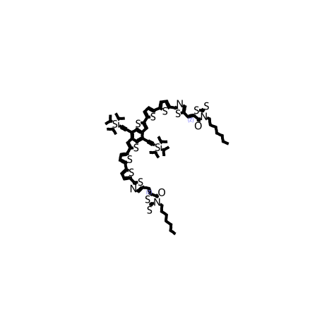 CCCCCCCN1C(=O)/C(=C/c2cnc(-c3ccc(-c4ccc(-c5cc6c(C#C[Si](C(C)C)(C(C)C)C(C)C)c7sc(-c8ccc(-c9ccc(-c%10ncc(/C=C%11\SC(=S)N(CCCCCCC)C%11=O)s%10)s9)s8)cc7c(C#C[Si](C(C)C)(C(C)C)C(C)C)c6s5)s4)s3)s2)SC1=S